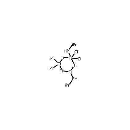 CC(C)[PH][Ti]1[Ti][Ti]([CH](C)C)([CH](C)C)[Ti][Ti]([Cl])([Cl])([PH]C(C)C)[Ti]1